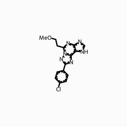 COCCc1nc2nc[nH]c2c2nc(-c3ccc(Cl)cc3)nn12